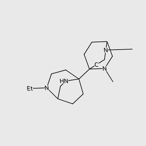 CCN1CCC2(C34CCC(CN3C)N(C)CC4)CCC1CN2